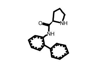 O=C(Nc1ccccc1-c1ccccc1)[C@H]1CCCN1